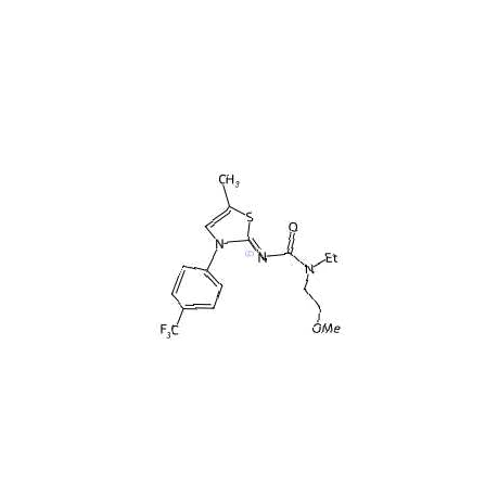 CCN(CCOC)C(=O)/N=c1\sc(C)cn1-c1ccc(C(F)(F)F)cc1